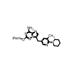 CCCC(C)Oc1nc(N)c2ncc(Cc3cnc(N4CCCCC4)c(C)c3)n2n1